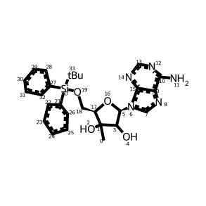 CC1(O)C(O)[C@H](n2cnc3c(N)ncnc32)O[C@@H]1CO[Si](c1ccccc1)(c1ccccc1)C(C)(C)C